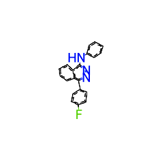 Fc1ccc(-c2nnc(Nc3ccccc3)c3ccccc23)cc1